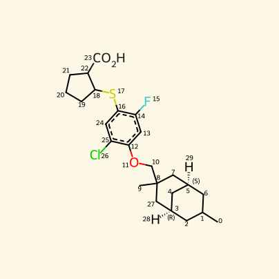 CC1C[C@@H]2C[C@H](C1)CC(C)(COc1cc(F)c(SC3CCCC3C(=O)O)cc1Cl)C2